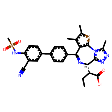 CCC(C(=O)O)[C@@H]1N=C(c2ccc(-c3ccc(NS(C)(=O)=O)c(C#N)c3)cc2)c2c(sc(C)c2C)-n2c(C)nnc21